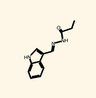 CCC(=O)NN=Cc1c[nH]c2ccccc12